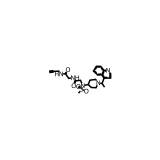 C#CCNC(=O)CNC(=O)CN(C1CCN(C(C)c2ccnc3ccccc23)CC1)S(C)(=O)=O